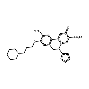 CCOC(=O)c1cn2c(cc1=O)-c1cc(OC)c(OCCCN3CCCCC3)cc1CC2c1cccs1